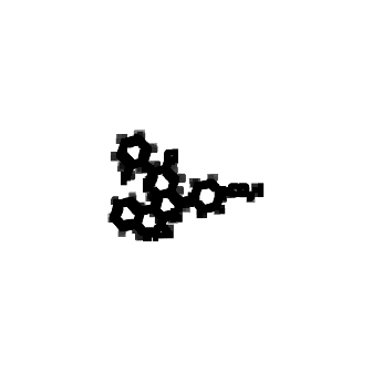 CC(C)c1ccccc1-c1c(C#N)nc(N2CCN(C(=O)O)CC2)c2cc(Cl)c(-c3ccccc3F)nc12